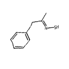 CC(Cc1ccccc1)=NS